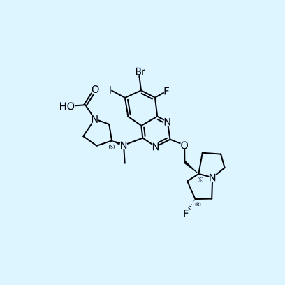 CN(c1nc(OC[C@@]23CCCN2C[C@H](F)C3)nc2c(F)c(Br)c(I)cc12)[C@H]1CCN(C(=O)O)C1